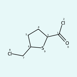 O=C(Cl)C1CCC(CCl)S1